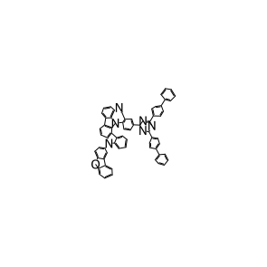 N#Cc1cc(-c2nc(-c3ccc(-c4ccccc4)cc3)nc(-c3ccc(-c4ccccc4)cc3)n2)ccc1-n1c2ccccc2c2ccc3c(c4ccccc4n3-c3ccc4oc5ccccc5c4c3)c21